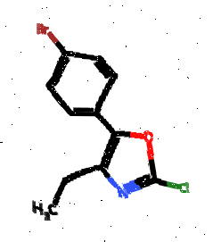 CCc1nc(Cl)oc1-c1ccc(Br)cc1